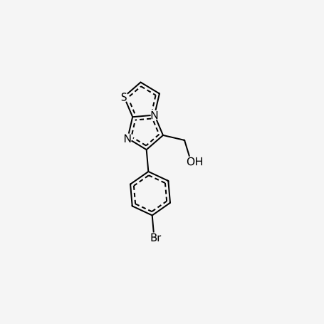 OCc1c(-c2ccc(Br)cc2)nc2sccn12